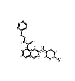 O=C(NCCc1ccccn1)c1cccc2cnc(NC3CCC(O)CC3)nc12